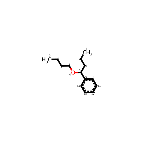 CCCCOC(CCC)c1cc[c]cc1